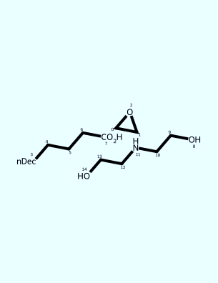 C1CO1.CCCCCCCCCCCCCC(=O)O.OCCNCCO